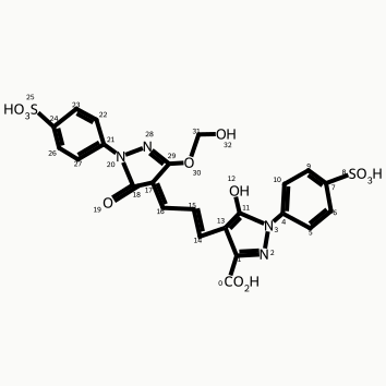 O=C(O)c1nn(-c2ccc(S(=O)(=O)O)cc2)c(O)c1C=CC=C1C(=O)N(c2ccc(S(=O)(=O)O)cc2)N=C1OCO